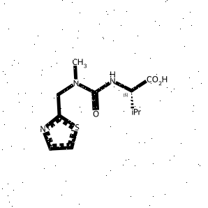 CC(C)[C@H](NC(=O)N(C)Cc1nccs1)C(=O)O